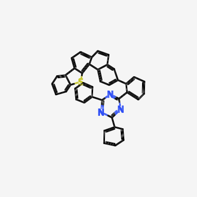 c1ccc(-c2nc(-c3ccccc3)nc(-c3ccccc3-c3ccc4c(ccc5ccc6c7ccccc7sc6c54)c3)n2)cc1